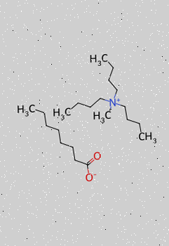 CCCCCCCC(=O)[O-].CCCC[N+](C)(CCCC)CCCC